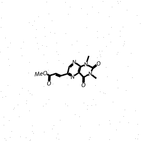 COC(=O)C=Cc1cnc2c(n1)c(=O)n(C)c(=O)n2C